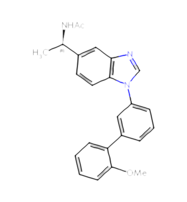 COc1ccccc1-c1cccc(-n2cnc3cc([C@@H](C)NC(C)=O)ccc32)c1